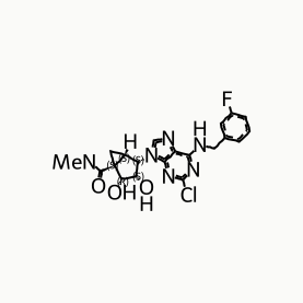 CNC(=O)[C@@]12C[C@@H]1[C@H](n1cnc3c(NCc4cccc(F)c4)nc(Cl)nc31)[C@H](O)[C@@H]2O